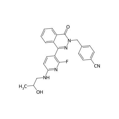 CC(O)CNc1ccc(-c2nn(Cc3ccc(C#N)cc3)c(=O)c3ccccc23)c(F)n1